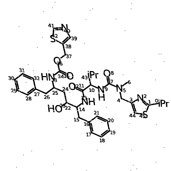 CC(C)c1nc(CN(C)C(=O)NC(C(=O)NC(Cc2ccccc2)C(O)CC(Cc2ccccc2)NC(=O)OCc2cncs2)C(C)C)cs1